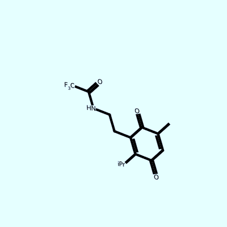 CC1=CC(=O)C(C(C)C)=C(CCNC(=O)C(F)(F)F)C1=O